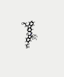 CC1(C)/C(=C/c2ccc3c(c2)c2ccccc2n3CCCl)C(=O)c2ccc(OCS)cc21